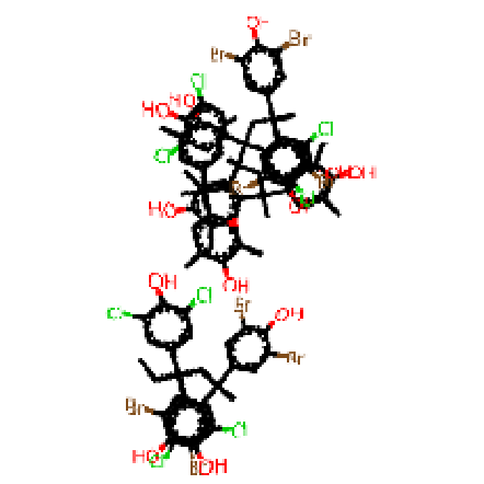 CCC(CC(C)(c1cc(Br)c(O)c(Br)c1)c1cc(Br)c(O)c(Br)c1)(c1cc(Cl)c(O)c(Cl)c1)c1cc(Cl)c(O)c(Cl)c1.Cc1cc(C(C)(CC(C)(CC(C)(c2cc(C)c(O)c(C)c2)c2cc(C)c(O)c(C)c2)C(CC(C)(c2cc(Br)c(O)c(Br)c2)c2cc(Br)c(O)c(Br)c2)(c2cc(Cl)c(O)c(Cl)c2)c2cc(Cl)c(O)c(Cl)c2)c2cc(C)c(O)c(C)c2)cc(C)c1O